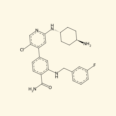 NC(=O)c1ccc(-c2cc(N[C@H]3CC[C@H](N)CC3)ncc2Cl)cc1NCc1cccc(F)c1